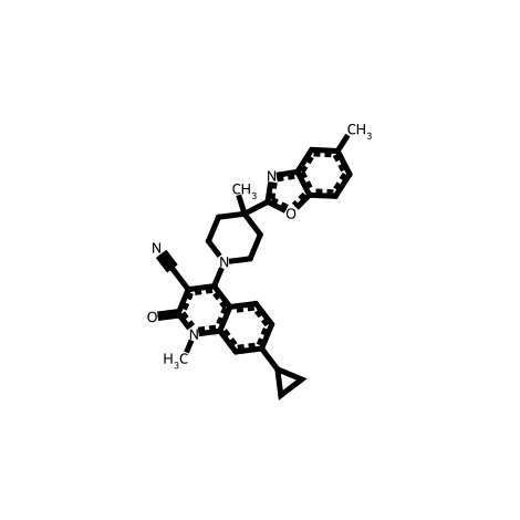 Cc1ccc2oc(C3(C)CCN(c4c(C#N)c(=O)n(C)c5cc(C6CC6)ccc45)CC3)nc2c1